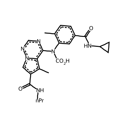 CCCNC(=O)c1cn2ncnc(N(C(=O)O)c3cc(C(=O)NC4CC4)ccc3C)c2c1C